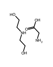 NCC(=O)O.OCCNCCO